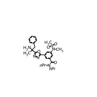 CCCN(CCC)C(=O)c1cc(-c2nnc([C@](C)(N)Cc3ccccc3)o2)cc(N(C)S(C)(=O)=O)c1